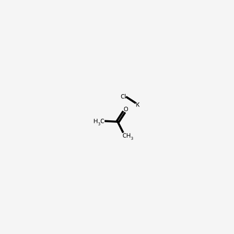 CC(C)=O.[Cl][K]